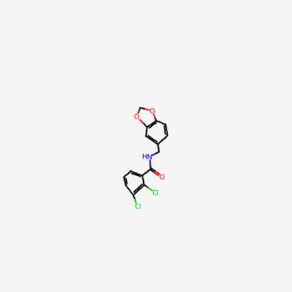 O=C(NCc1ccc2c(c1)OCO2)c1cccc(Cl)c1Cl